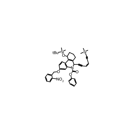 CC(C)(C)[Si](C)(C)OC1CCCC2=C1c1ccc(OCc3ccccc3[N+](=O)[O-])cc1N(C(=O)Oc1ccccc1)C2C#C/C=C\C#C[Si](C)(C)C